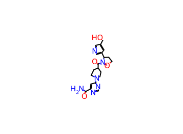 NC(=O)c1cc(N2CCC(C(=O)N3OCCC3c3cncc(CO)c3)CC2)ncn1